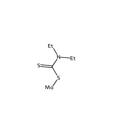 CCN(CC)C(=S)[S][Mo]